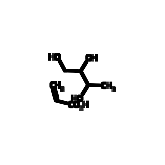 C=CC(=O)O.CC(O)C(O)CO